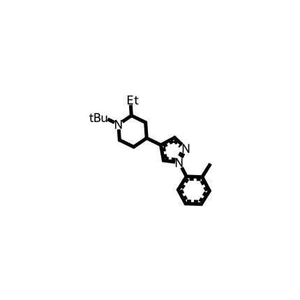 CCC1CC(c2cnn(-c3ccccc3C)c2)CCN1C(C)(C)C